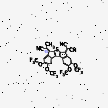 C/C(C#N)=C1/c2cc(OC(F)(F)F)c(OC(F)(F)F)cc2-c2c1sc1c2-c2cc(OC(F)(F)F)c(OC(F)(F)F)cc2C1=C(C#N)C#N